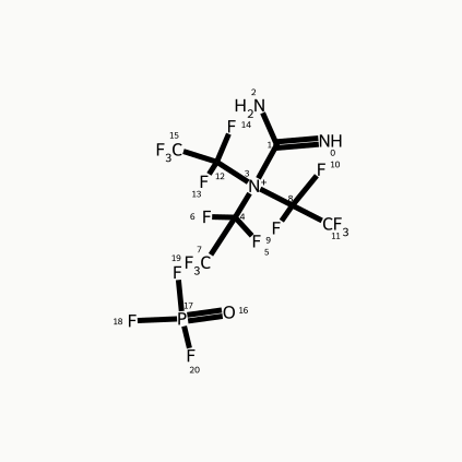 N=C(N)[N+](C(F)(F)C(F)(F)F)(C(F)(F)C(F)(F)F)C(F)(F)C(F)(F)F.O=P(F)(F)F